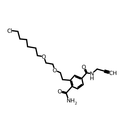 C#CCNC(=O)c1ccc(C(N)=O)c(CCOCCOCCCCCCCl)c1